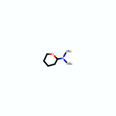 CCCCN(CCCC)[C]1CCCCO1